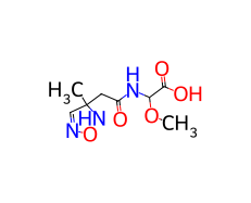 COC(NC(=O)CC1(C)C=NON1)C(=O)O